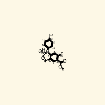 COC(=O)c1cc(F)c(N(c2ccc(I)cc2)[SH](=O)=O)cc1F